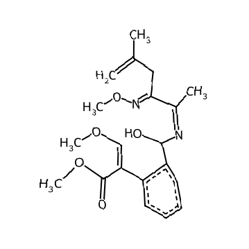 C=C(C)CC(=NOC)C(C)=NC(O)c1ccccc1C(=COC)C(=O)OC